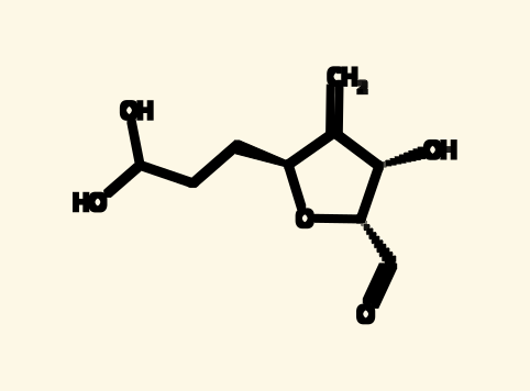 C=C1[C@H](CCC(O)O)O[C@@H](C=O)[C@H]1O